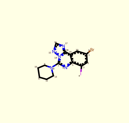 Brc1cc(I)c2nc(N3CCCCC3)n3ncnc3c2c1